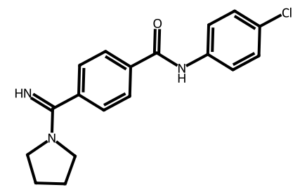 N=C(c1ccc(C(=O)Nc2ccc(Cl)cc2)cc1)N1CCCC1